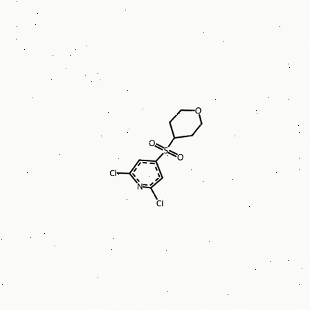 O=S(=O)(c1cc(Cl)nc(Cl)c1)C1CCOCC1